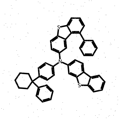 c1ccc(-c2cccc3sc4ccc(N(c5ccc(C6(c7ccccc7)CCCCC6)cc5)c5ccc6c(c5)sc5ccccc56)cc4c23)cc1